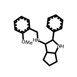 COc1ccccc1CNC1C(c2ccccc2)NC2CCCC21